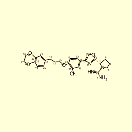 N=C(N)N1CCC[C@H]1c1nc(-c2ccc(OCCCc3ccc4c(c3)OCCO4)c(C(F)(F)F)c2)no1